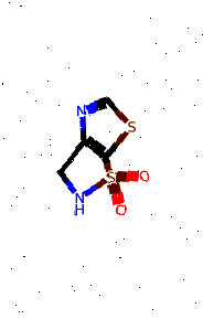 O=S1(=O)NCc2ncsc21